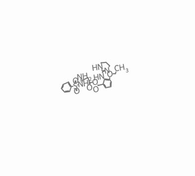 CCOc1cccc(C(=O)OC(=O)C[C@@H](N)NS(=O)(=O)c2ccccc2)c1NC1=NCCCN1